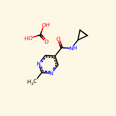 Cc1ncc(C(=O)NC2CC2)cn1.O=C(O)O